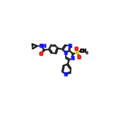 CS(=O)(=O)c1nc(-c2ccncc2)cn2c(-c3ccc(C(=O)NC4CC4)cc3)cnc12